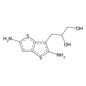 Nc1cc2sc(N)c(CC(O)CO)c2s1